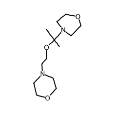 CC(C)(OCCN1CCOCC1)N1CCOCC1